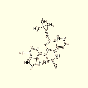 CC(C)(O)C#Cc1cc2c(-c3ccc(F)c4[nH]ncc34)c(N)c(=O)[nH]c2c2cccnc12